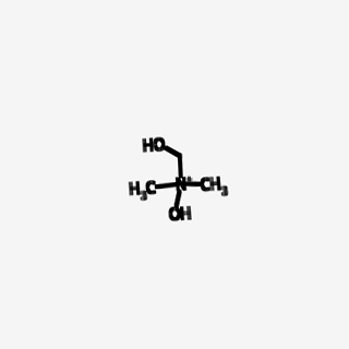 C[N+](C)(O)CO